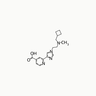 CN(CCn1cnc(-c2cc(C(=O)O)ccn2)c1)CC1CCC1